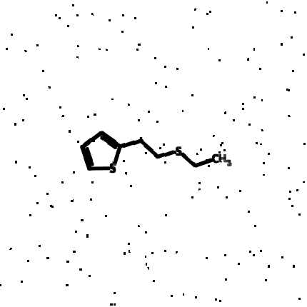 CCSC[CH]c1cccs1